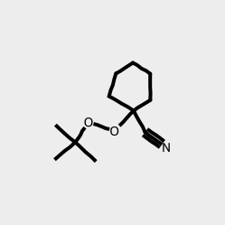 CC(C)(C)OOC1(C#N)CCCCC1